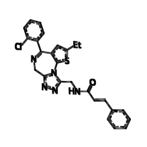 CCc1cc2c(s1)-n1c(nnc1CNC(=O)C=Cc1ccccc1)CN=C2c1ccccc1Cl